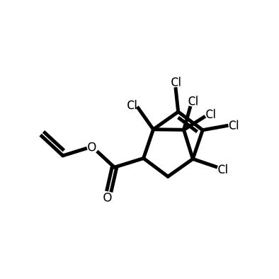 C=COC(=O)C1CC2(Cl)C(Cl)=C(Cl)C1(Cl)C2(Cl)Cl